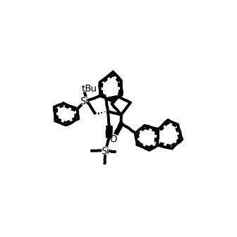 CC(C)(C)[Si](C[C@]1(C#C[Si](C)(C)C)CC2CC1(C(=O)c1ccc3ccccc3c1)C2)(c1ccccc1)c1ccccc1